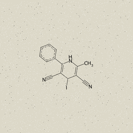 CC1=C(C#N)C(I)C(C#N)=C(c2ccccc2)N1